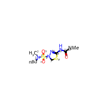 CCCCN(C)S(=O)(=O)N1CSC(NC(=O)NC)=N1